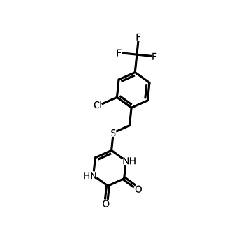 O=c1[nH]cc(SCc2ccc(C(F)(F)F)cc2Cl)[nH]c1=O